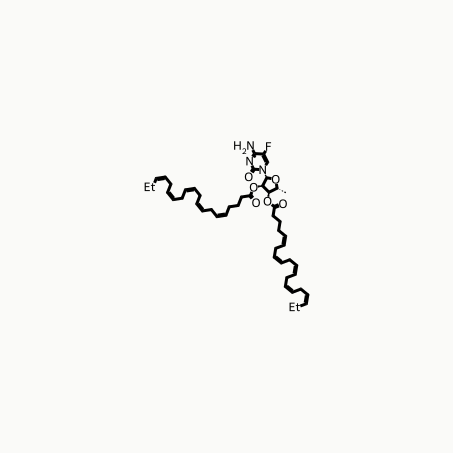 CC/C=C\C/C=C\C/C=C\C/C=C\C/C=C\CCCC(=O)O[C@@H]1[C@H](OC(=O)CCC/C=C\C/C=C\C/C=C\C/C=C\C/C=C\CC)[C@@H](C)O[C@H]1n1cc(F)c(N)nc1=O